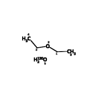 CCOCC.[120OH2]